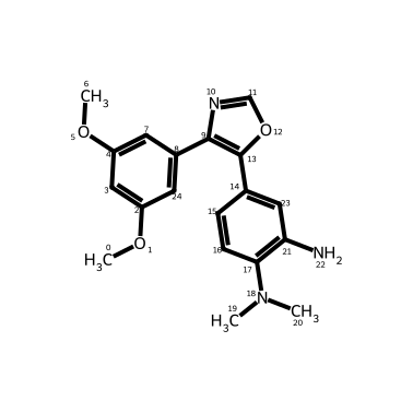 COc1cc(OC)cc(-c2ncoc2-c2ccc(N(C)C)c(N)c2)c1